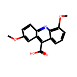 COc1ccc2nc3c(OC)cccc3c(C(=O)O)c2c1